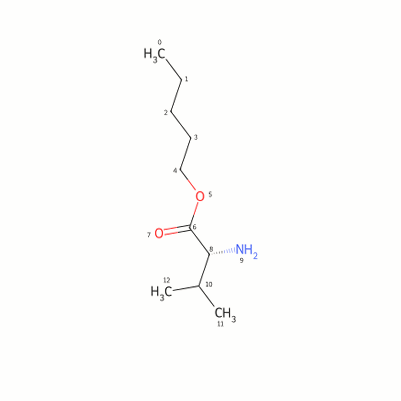 CCCCCOC(=O)[C@H](N)C(C)C